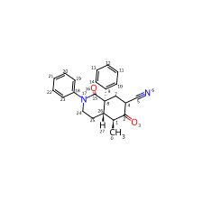 C[C@@H]1C(=O)C(C#N)C[C@]2(c3ccccc3)C(=O)N(c3ccccc3)CC[C@@H]12